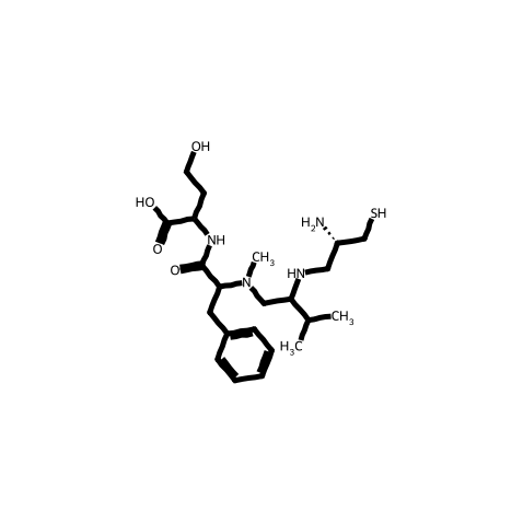 CC(C)C(CN(C)C(Cc1ccccc1)C(=O)NC(CCO)C(=O)O)NC[C@H](N)CS